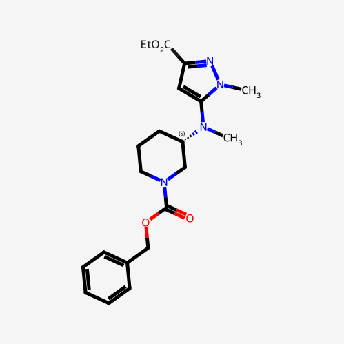 CCOC(=O)c1cc(N(C)[C@H]2CCCN(C(=O)OCc3ccccc3)C2)n(C)n1